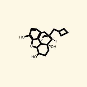 Oc1ccc2c3c1OC1C(O)CC[C@]4(O)[C@H](C2)N(CC2CCC2)CC[C@@]314